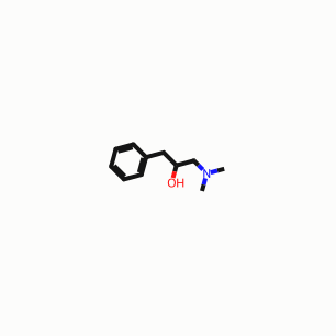 CN(C)CC(O)Cc1ccccc1